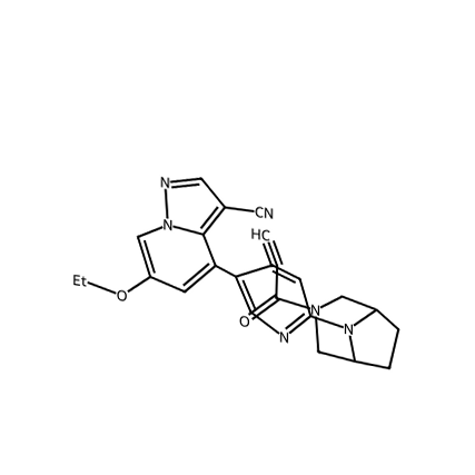 C#CC(=O)N1CC2CCC(C1)N2c1ccc(-c2cc(OCC)cn3ncc(C#N)c23)cn1